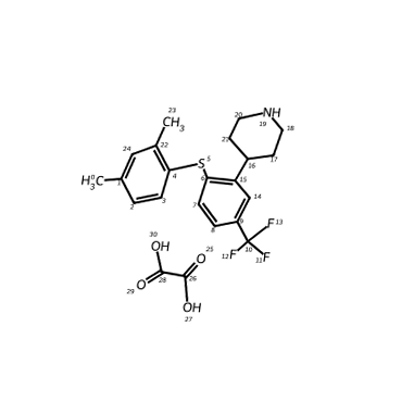 Cc1ccc(Sc2ccc(C(F)(F)F)cc2C2CCNCC2)c(C)c1.O=C(O)C(=O)O